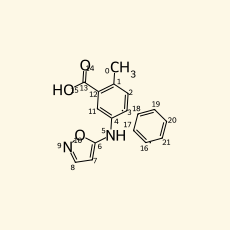 Cc1c[c]c(Nc2ccno2)cc1C(=O)O.[c]1ccccc1